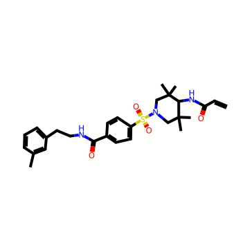 C=CC(=O)NC1C(C)(C)CN(S(=O)(=O)c2ccc(C(=O)NCCc3cccc(C)c3)cc2)CC1(C)C